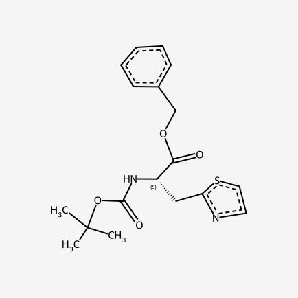 CC(C)(C)OC(=O)N[C@@H](Cc1nccs1)C(=O)OCc1ccccc1